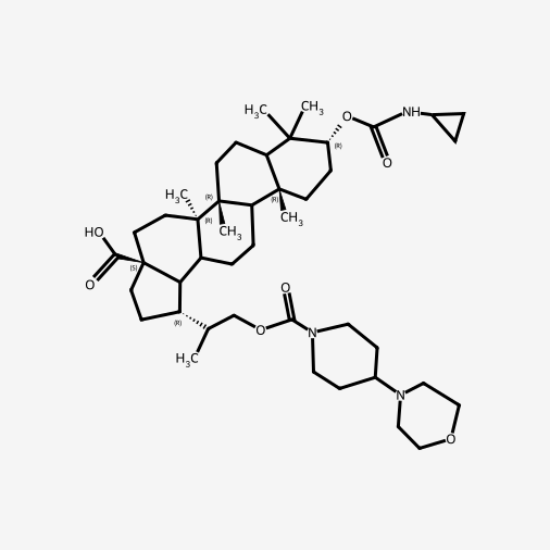 CC(COC(=O)N1CCC(N2CCOCC2)CC1)[C@@H]1CC[C@]2(C(=O)O)CC[C@]3(C)C(CCC4[C@@]5(C)CC[C@@H](OC(=O)NC6CC6)C(C)(C)C5CC[C@]43C)C12